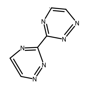 [c]1cnnc(-c2nccnn2)n1